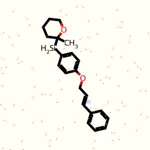 CC1([SiH2]c2ccc(OC/C=C/c3ccccc3)cc2)CCCCO1